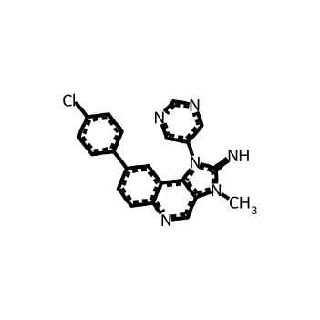 Cn1c(=N)n(-c2cncnc2)c2c3cc(-c4ccc(Cl)cc4)ccc3ncc21